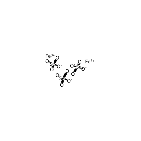 O=[Se](=O)([O-])[O-].O=[Se](=O)([O-])[O-].O=[Se](=O)([O-])[O-].[Fe+3].[Fe+3]